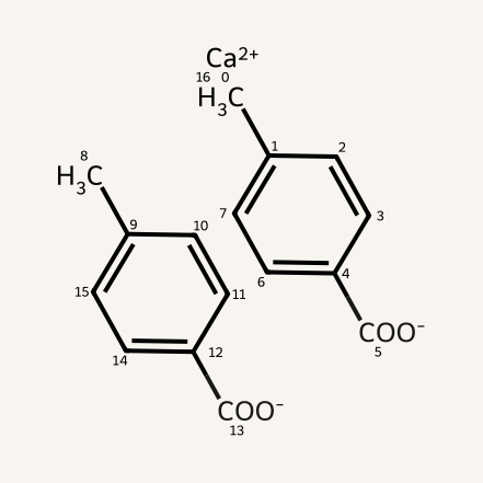 Cc1ccc(C(=O)[O-])cc1.Cc1ccc(C(=O)[O-])cc1.[Ca+2]